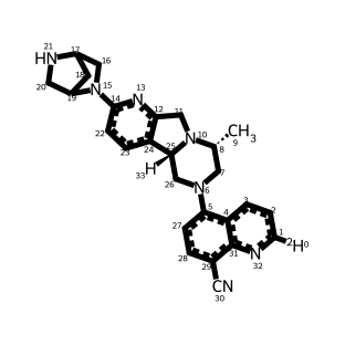 [2H]c1ccc2c(N3C[C@@H](C)N4Cc5nc(N6CC7CC6CN7)ccc5[C@H]4C3)ccc(C#N)c2n1